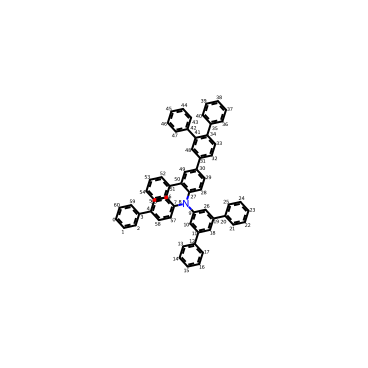 c1ccc(-c2ccc(N(c3cc(-c4ccccc4)cc(-c4ccccc4)c3)c3ccc(-c4ccc(-c5ccccc5)c(-c5ccccc5)c4)cc3-c3ccccc3)cc2)cc1